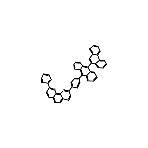 c1ccc(-c2ccc3ccc4ccc(-c5ccc(-c6c7ccccc7c(-c7cc8ccccc8c8ccccc78)c7ccccc67)cc5)nc4c3n2)cc1